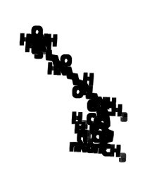 CCCCCCCCC[C@@H](C)C1CCC(C2CC=C(CC(C)NC(=O)CCNC(=O)CCCCCNC(=O)CCCC[C@@H]3SC[C@@H]4NC(=O)N[C@@H]43)C(C)C2C)C1C